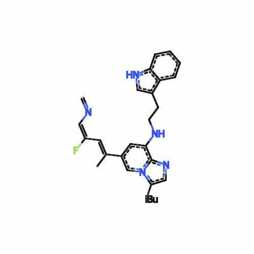 C=N/C=C(F)\C=C(/C)c1cc(NCCc2c[nH]c3ccccc23)c2ncc(C(C)CC)n2c1